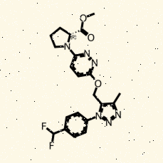 COC(=O)[C@H]1CCCN1c1ccc(OCc2c(C)nnn2-c2ccc(C(F)F)cc2)nn1